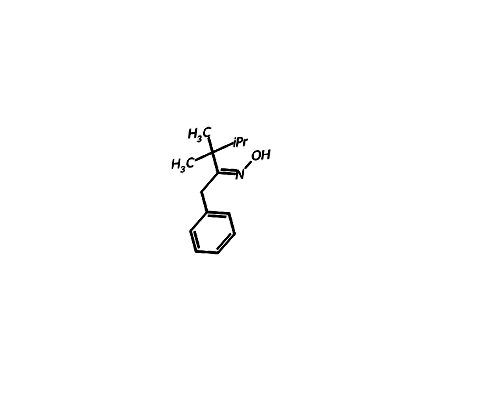 CC(C)C(C)(C)C(Cc1ccccc1)=NO